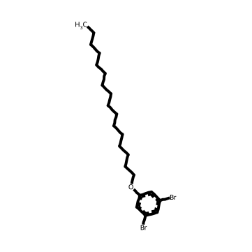 CCCCCCCCCCCCCCCCOc1cc(Br)cc(Br)c1